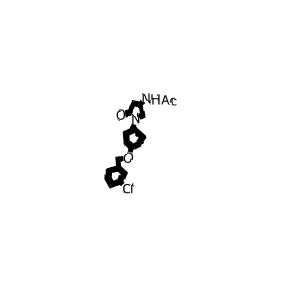 CC(=O)NC1CC(=O)N(c2ccc(OCc3cccc(Cl)c3)cc2)C1